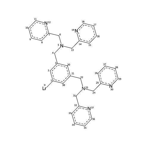 [Lr][c]1cc(CN(Cc2ccccn2)Cc2ccccn2)cc(CN(Cc2ccccn2)Cc2ccccn2)c1